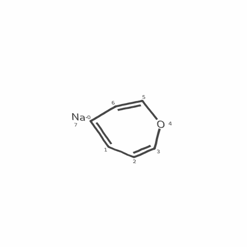 C1=CC=COC=C1.[Na]